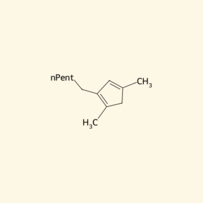 CCCCCCC1=C(C)CC(C)=C1